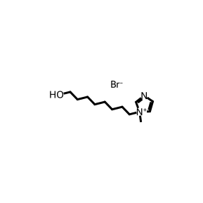 C[N+]1(CCCCCCCCO)C=CN=C1.[Br-]